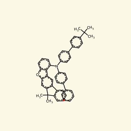 CC(C)(C)c1ccc(-c2ccc(N(c3ccc(-c4ccccc4)cc3)c3cccc4oc5cc6c(cc5c34)-c3ccccc3C6(C)C)cc2)cc1